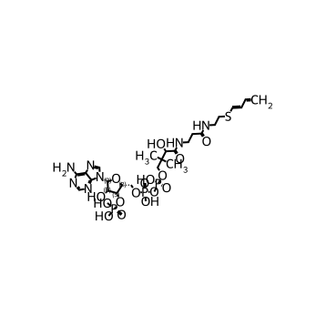 C=CC=CSCCNC(=O)CCNC(=O)C(O)C(C)(C)COP(=O)(O)OP(=O)(O)OC[C@H]1O[C@@H](n2cnc3c(N)ncnc32)[C@H](O)[C@@H]1OP(=O)(O)O